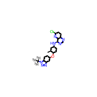 [2H]C([2H])([2H])n1nnc2cc(Oc3ccc(Nc4ncnc5ccc(Cl)nc45)cc3C)ccc21